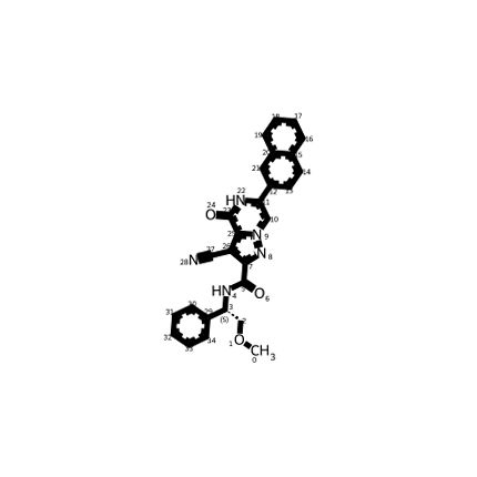 COC[C@@H](NC(=O)c1nn2cc(-c3ccc4ccccc4c3)[nH]c(=O)c2c1C#N)c1ccccc1